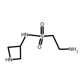 NCCS(=O)(=O)NC1CNC1